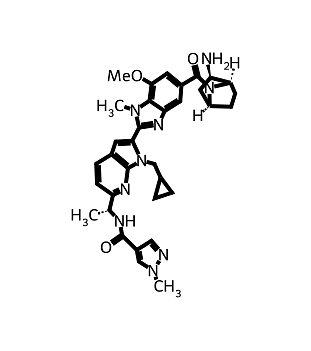 COc1cc(C(=O)N2[C@H]3CC[C@@H]2[C@H](N)C3)cc2nc(-c3cc4ccc([C@@H](C)NC(=O)c5cnn(C)c5)nc4n3CC3CC3)n(C)c12